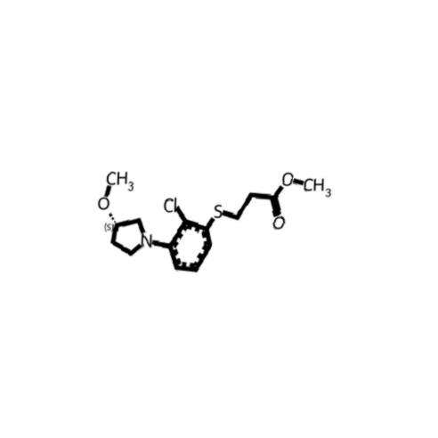 COC(=O)CCSc1cccc(N2CC[C@H](OC)C2)c1Cl